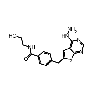 NNc1ncnc2sc(Cc3ccc(C(=O)NCCO)cc3)cc12